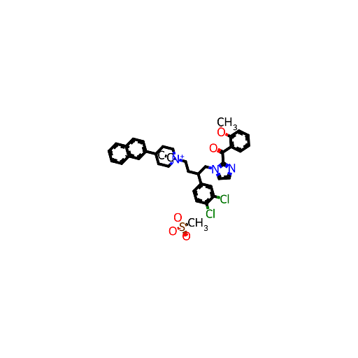 COc1ccccc1C(=O)c1nccn1CC(CC[N+]12CCC(c3ccc4ccccc4c3)(CC1)CC2)c1ccc(Cl)c(Cl)c1.CS(=O)(=O)[O-]